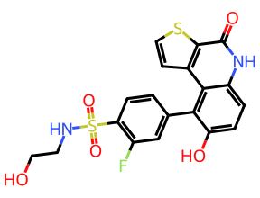 O=c1[nH]c2ccc(O)c(-c3ccc(S(=O)(=O)NCCO)c(F)c3)c2c2ccsc12